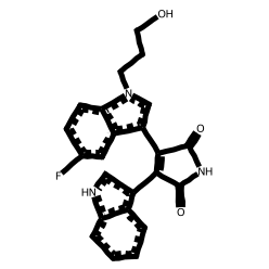 O=C1NC(=O)C(c2cn(CCCO)c3ccc(F)cc23)=C1c1c[nH]c2ccccc12